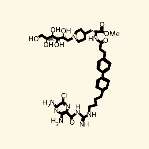 COC(=O)[C@@H](CC1CCN(C[C@H](O)[C@@H](O)[C@H](O)[C@H](O)CO)CC1)NC(=O)CCc1ccc(-c2ccc(CCCCNC(=N)NC(=O)c3nc(Cl)c(N)nc3N)cc2)cc1